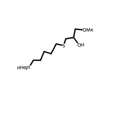 CCCCCCCCCCCCSCC(O)COC